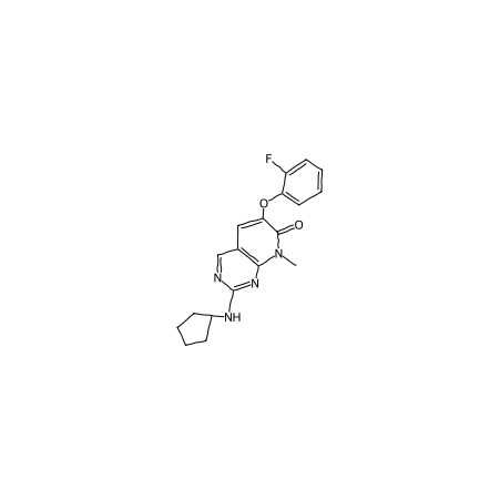 Cn1c(=O)c(Oc2ccccc2F)cc2cnc(NC3CCCC3)nc21